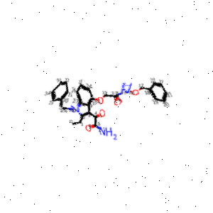 CCc1c(C(=O)C(N)=O)c2c(OCC(=O)NOCc3ccccc3)cccc2n1Cc1ccccc1